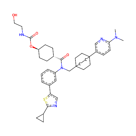 CN(C)c1ccc(C23CCC(CN(c4cccc(-c5cnc(C6CC6)s5)c4)C(=O)[C@H]4CC[C@H](OC(=O)NCCO)CC4)(CC2)CC3)cn1